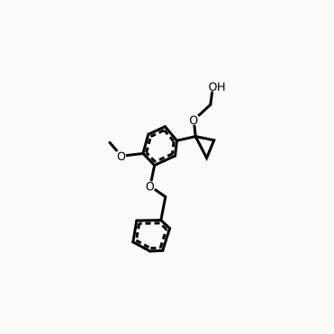 COc1ccc(C2(OCO)CC2)cc1OCc1ccccc1